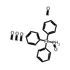 O=[PH2][Fe]([c]1ccccc1)([c]1ccccc1)[c]1ccccc1.[C]=O.[C]=O.[C]=O.[C]=O